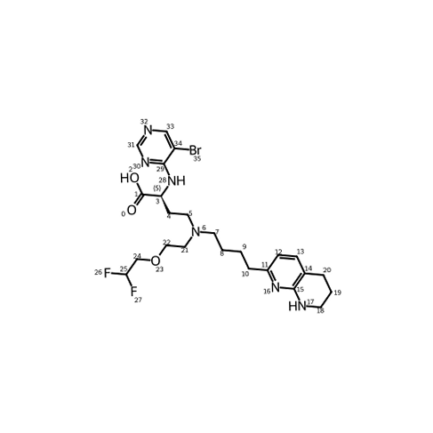 O=C(O)[C@H](CCN(CCCCc1ccc2c(n1)NCCC2)CCOCC(F)F)Nc1ncncc1Br